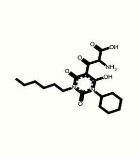 CCCCCCn1c(=O)c(C(=O)C(N)C(=O)O)c(O)n(C2CCCCC2)c1=O